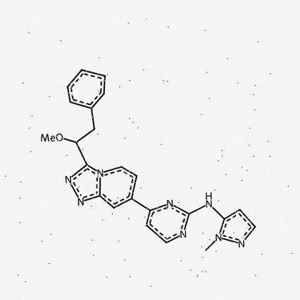 COC(Cc1ccccc1)c1nnc2cc(-c3ccnc(Nc4ccnn4C)n3)ccn12